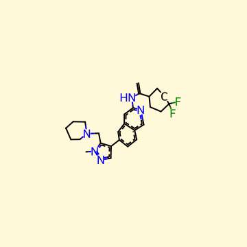 C=C(Nc1cc2cc(-c3cnn(C)c3CN3CCCCC3)ccc2cn1)C1CCC(F)(F)CC1